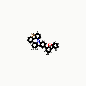 C1=CC2Sc3cccc(-n4c5ccccc5c5cc(-c6cccc7c6oc6ccccc67)ccc54)c3C2C=C1